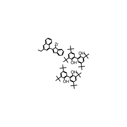 CC(C)(C)c1cc(-c2cc(C(C)(C)C)cc(C(C)(C)C)c2O)c(O)c(C(C)(C)C)c1.CC(C)(C)c1cc(-c2cc(C(C)(C)C)cc(C(C)(C)C)c2O)c(O)c(C(C)(C)C)c1.CCc1cc(C2=Cc3ccccc3[CH]2[Zr])c2ccccc2c1